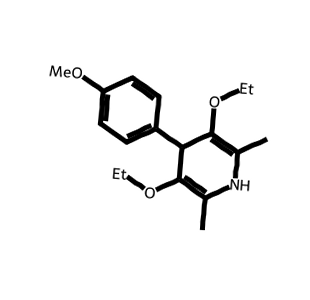 CCOC1=C(C)NC(C)=C(OCC)C1c1ccc(OC)cc1